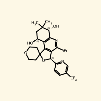 CC(C)c1nc2c(c3c1[C@@H](c1ccc(C(F)(F)F)cn1)OC31CCOCC1)[C@@H](O)CC(C)(C)[C@@H]2O